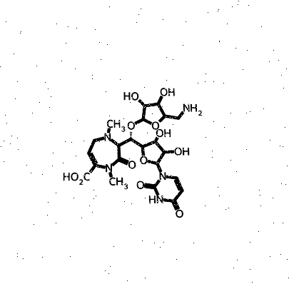 CN1C(=O)C([C@H](OC2OC(CN)C(O)C2O)C2OC(n3ccc(=O)[nH]c3=O)C(O)C2O)N(C)CC=C1C(=O)O